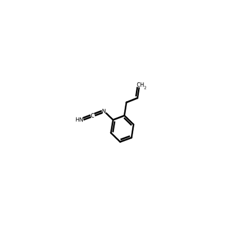 C=CCc1ccccc1N=C=N